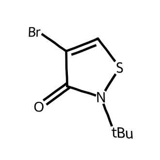 CC(C)(C)n1scc(Br)c1=O